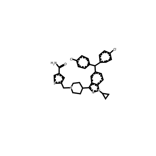 NC(=O)c1csc(CN2CCC(c3nn(C4CC4)c4ccc(C(c5ccc(Cl)cc5)c5ccc(Cl)cc5)cc34)CC2)c1